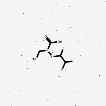 CCN(OC(F)C(F)F)C(=O)O